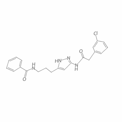 O=C(Cc1cccc(Cl)c1)Nc1cc(CCCNC(=O)c2ccccc2)[nH]n1